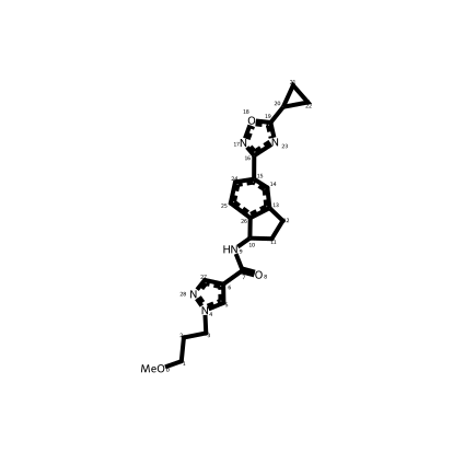 COCCCn1cc(C(=O)NC2CCc3cc(-c4noc(C5CC5)n4)ccc32)cn1